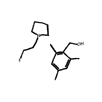 Cc1cc(C)c(CO)c(C)c1.FCCN1CCCC1